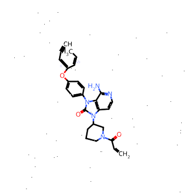 C#C/C=C(\C=C/C)Oc1ccc(-n2c(=O)n(C3CCCN(C(=O)C=C)C3)c3ccnc(N)c32)cc1